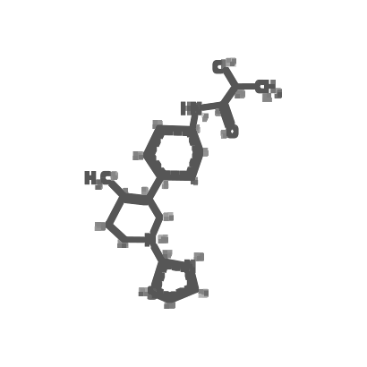 CC1=C(c2ccc(NC(=O)C(C)Cl)cc2)CN(c2nccs2)CC1